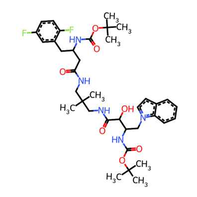 CC(C)(CNC(=O)CC(Cc1cc(F)ccc1F)NC(=O)OC(C)(C)C)CNC(=O)C(O)C(Cn1ccc2ccccc21)NC(=O)OC(C)(C)C